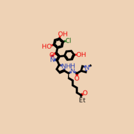 CCC(=O)CCCCC[C@H](NC(=O)C1CN(C)C1)C1=CCC(c2noc(-c3cc(Cl)c(O)cc3O)c2C2=CC=C(O)CC2)N1